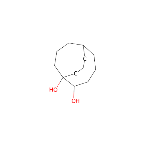 OC1CCCC2CCCC1(O)CCC2